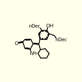 CCCCCCCCCCCc1cc(C(=C2C=CC(=O)C=C2CCC)C2CCCCC2)cc(CCCCCCCCCC)c1O